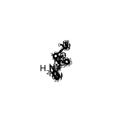 Cc1c(C#Cc2cccc3nc([C@H](C)NCc4c(N)nn5cccnc45)n(-c4ccccc4)c(=O)c23)cnn1C